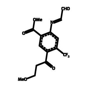 COCCC(=O)c1cc(C(=O)OC)c(N=CC=O)cc1C(F)(F)F